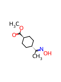 COC(=O)[C@H]1CC[C@H](C(C)=NO)CC1